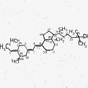 CC=C1[C@H](O)CC(=C/C=C2\CCC[C@@]3(C)C2CCC3[C@@H](C)CCCC(C)(C)O)C[C@H]1O